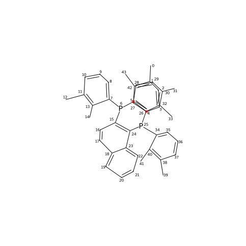 Cc1cccc(P(c2cccc(C)c2C)c2ccc3ccccc3c2P(c2cccc(C)c2C)c2cccc(C)c2C)c1C